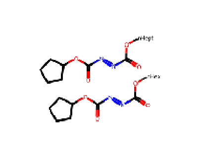 CCCCCCCOC(=O)N=NC(=O)OC1CCCC1.CCCCCCOC(=O)N=NC(=O)OC1CCCC1